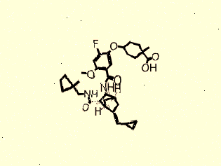 COc1cc(F)c(OC2CCC(C)(C(=O)O)CC2)cc1C(=O)N[C@@H]1[C@H]2CC(=CC3CC3)[C@H](C2)[C@@H]1C(=O)NCC1(C)CCC1